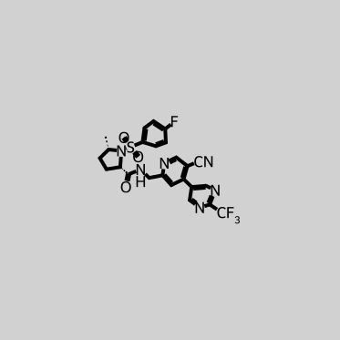 C[C@H]1CC[C@@H](C(=O)NCc2cc(-c3cnc(C(F)(F)F)nc3)c(C#N)cn2)N1S(=O)(=O)c1ccc(F)cc1